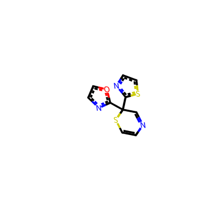 C1=CSC(c2ncco2)(c2nccs2)C=N1